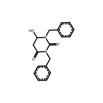 O=C1CC(O)N(Cc2ccccc2)C(=O)N1Cc1ccccc1